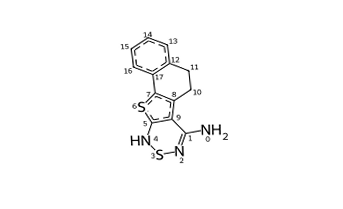 NC1=NSNc2sc3c(c21)CCc1ccccc1-3